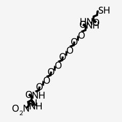 O=C(CCCS)NNC(=O)CCOCCOCCOCCOCCOCCOCCOCCOCCNC(=O)c1cc([N+](=O)[O-])[nH]n1